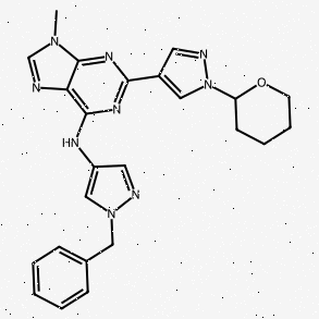 Cn1cnc2c(Nc3cnn(Cc4ccccc4)c3)nc(-c3cnn(C4CCCCO4)c3)nc21